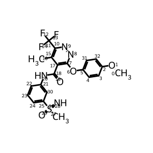 COc1ccc(Oc2nnc(C(F)(F)F)c(C)c2C(=O)Nc2cccc(S(C)(=N)=O)c2)cc1